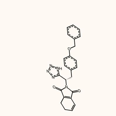 O=C1C2=C(CCC=C2)C(=O)N1[C@@H](Cc1ccc(OCc2ccccc2)cc1)c1nnn[nH]1